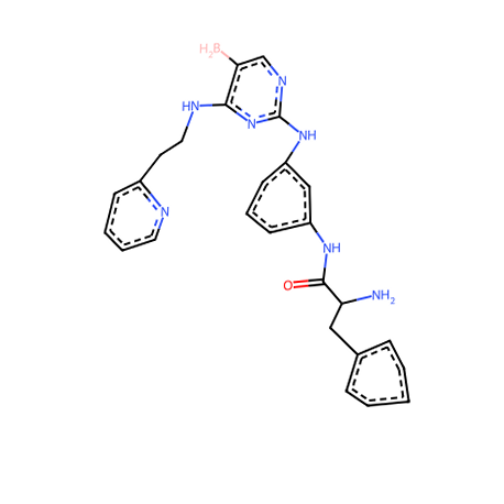 Bc1cnc(Nc2cccc(NC(=O)C(N)Cc3ccccc3)c2)nc1NCCc1ccccn1